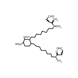 C=C(/C=C\C=O)N(C)CCCCCCCCC1C(CCCCCCCCN(C)C(=O)/C=C\C=O)CCC(CCCCCC)C1CCCCCCCC